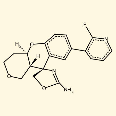 NC1=N[C@@]2(CO1)c1cc(-c3cccnc3F)ccc1O[C@@H]1CCOC[C@H]12